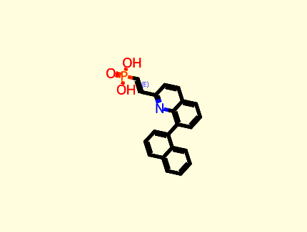 O=P(O)(O)/C=C/c1ccc2cccc(-c3cccc4ccccc34)c2n1